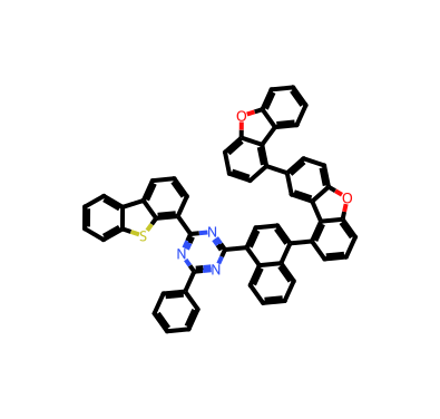 c1ccc(-c2nc(-c3ccc(-c4cccc5oc6ccc(-c7cccc8oc9ccccc9c78)cc6c45)c4ccccc34)nc(-c3cccc4c3sc3ccccc34)n2)cc1